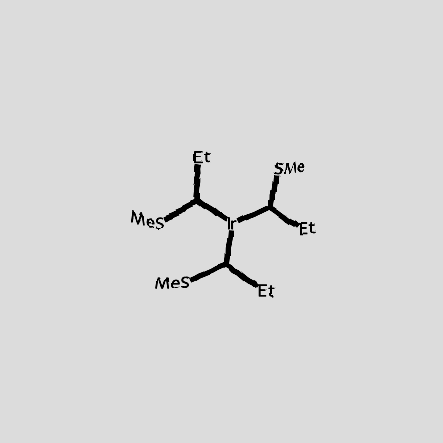 CC[CH](SC)[Ir]([CH](CC)SC)[CH](CC)SC